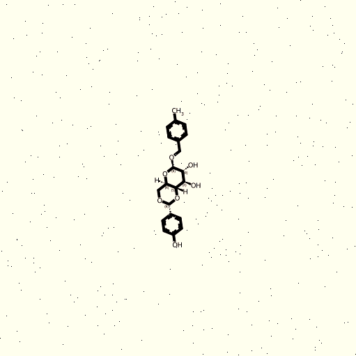 Cc1ccc(CO[C@@H]2O[C@@H]3CO[C@@H](c4ccc(O)cc4)O[C@H]3[C@H](O)[C@H]2O)cc1